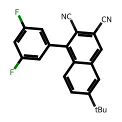 CC(C)(C)c1ccc2c(-c3cc(F)cc(F)c3)c(C#N)c(C#N)cc2c1